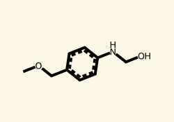 COCc1ccc(NCO)cc1